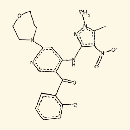 Cc1c([N+](=O)[O-])c(Nc2cc(N3CCOCC3)ncc2C(=O)c2ccccc2Cl)nn1P